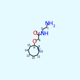 NCCNC(=O)COC1/C=C\CCCCC1